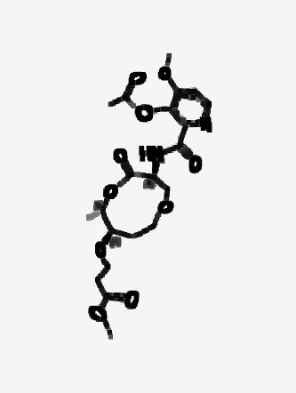 COC(=O)CCO[C@@H]1CCOC[C@H](NC(=O)c2nccc(OC)c2OC(C)=O)C(=O)O[C@H]1C